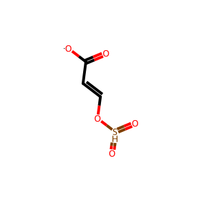 [O]C(=O)C=CO[SH](=O)=O